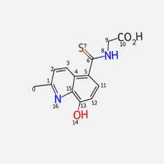 Cc1ccc2c(C(=S)NCC(=O)O)ccc(O)c2n1